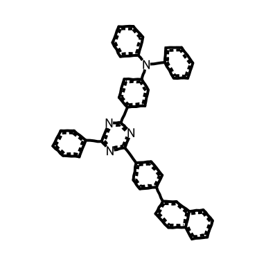 c1ccc(-c2nc(-c3ccc(-c4ccc5ccccc5c4)cc3)nc(-c3ccc(N(c4ccccc4)c4ccccc4)cc3)n2)cc1